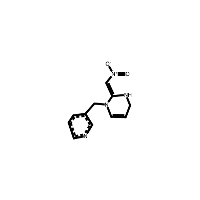 O=[N+]([O-])C=C1NCC=CN1Cc1cccnc1